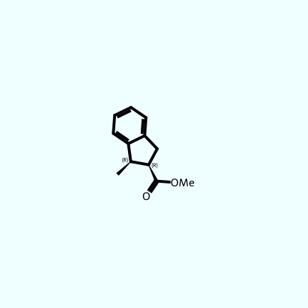 COC(=O)[C@@H]1Cc2ccccc2[C@@H]1C